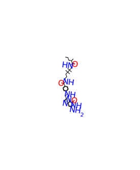 CCCC(C)C(=O)NCC(C)(C)C(C)(C)CCCNC(=O)c1ccc(NCc2cnc3cc(N)[nH]c(=O)c3n2)cc1